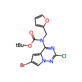 CC(C)(C)OC(=O)N(Cc1ccco1)c1nc(Cl)nn2cc(Br)cc12